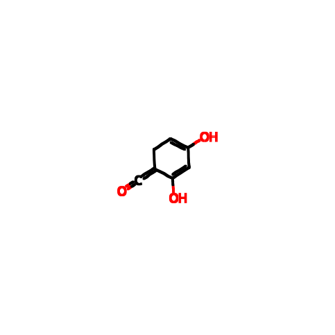 O=C=C1CC=C(O)C=C1O